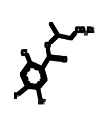 CCOC(=O)CC(C)OC(=O)c1cc(Br)c(F)cc1Cl